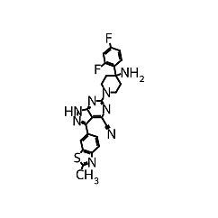 Cc1nc2ccc(-c3n[nH]c4nc(N5CCC(N)(c6ccc(F)cc6F)CC5)nc(C#N)c34)cc2s1